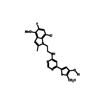 CCOc1cc(-c2cc(NCCn3c(C)cc4c(OC)c(F)cc(Cl)c43)ncn2)sc1C(=O)O